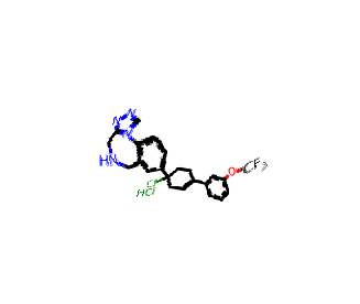 Cl.FC(F)(F)Oc1cccc(C2=CCC(Cl)(c3ccc4c(c3)CNCc3nncn3-4)CC2)c1